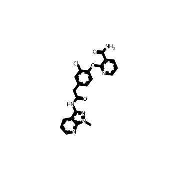 Cn1nc(NC(=O)Cc2ccc(Oc3ncccc3C(N)=O)c(Cl)c2)c2cccnc21